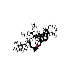 CCC(C)(CC)C(=O)N[C@H]1Cc2ccc3c(c2)C2(c4ccccc4NC2O3)c2oc(nc2-c2nc(C)c(C)o2)[C@H](C(C)C)NC1=O